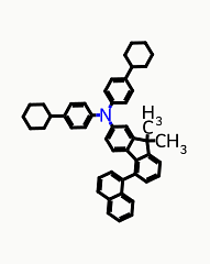 CC1(C)c2cc(N(c3ccc(C4CCCCC4)cc3)c3ccc(C4CCCCC4)cc3)ccc2-c2c(-c3cccc4ccccc34)cccc21